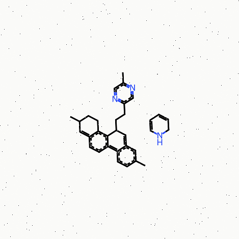 C1=CCNC=C1.Cc1ccc2c(c1)=CC(CCc1cnc(C)cn1)c1c3c(ccc1=2)=CC(C)CC3